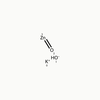 [K+].[OH-].[O]=[Zn]